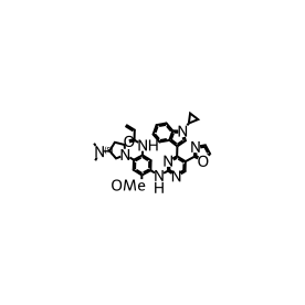 C=CC(=O)Nc1cc(Nc2ncc(-c3ncco3)c(-c3cn(C4CC4)c4ccccc34)n2)c(OC)cc1N1CC[C@H](N(C)C)C1